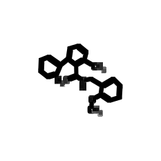 C=C(NCc1ccccc1OC)c1c(C)cccc1-c1ccccc1